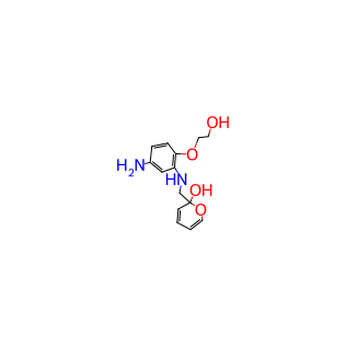 Nc1ccc(OCCO)c(NCC2(O)C=CC=CO2)c1